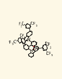 N#Cc1cccc(-n2c3ccccc3c3cc(-c4cc(C(F)(F)F)cc(C(F)(F)F)c4)ccc32)c1-c1cc(-c2cc(C(F)(F)F)cc(C(F)(F)F)c2)ccc1-n1c2ccccc2c2cc(-c3cc(C(F)(F)F)cc(C(F)(F)F)c3)ccc21